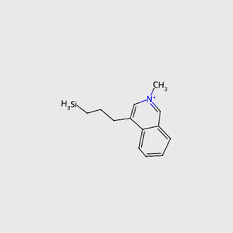 C[n+]1cc(CCC[SiH3])c2ccccc2c1